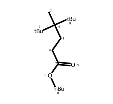 CCCCOC(=O)CCC(C)(C(C)(C)C)C(C)(C)C